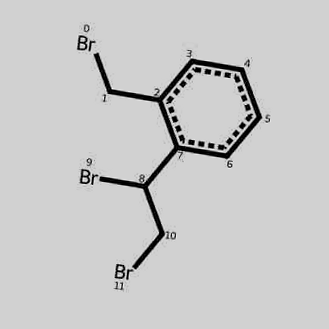 BrCc1ccccc1C(Br)CBr